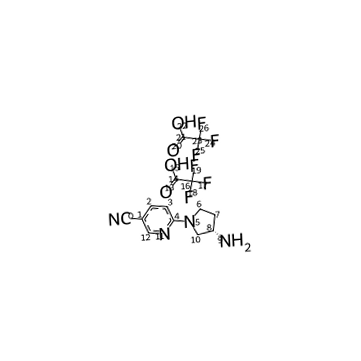 N#Cc1ccc(N2CC[C@H](N)C2)nc1.O=C(O)C(F)(F)F.O=C(O)C(F)(F)F